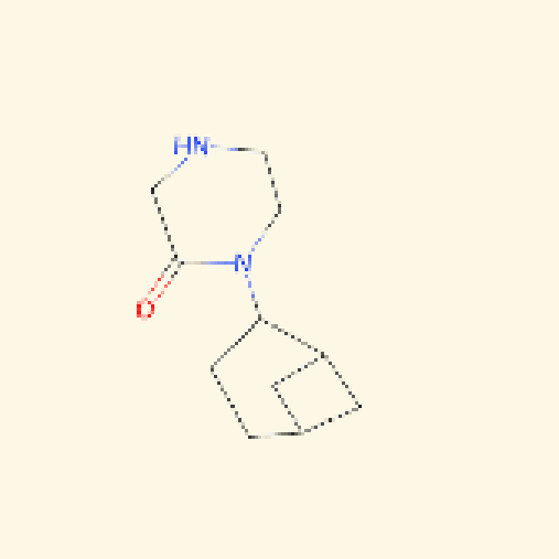 O=C1CNCCN1C1CCC2CC1C2